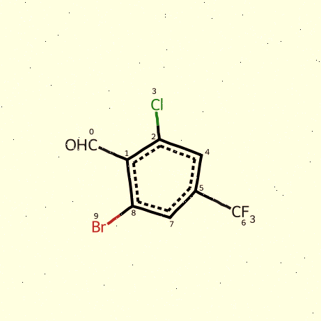 O=Cc1c(Cl)cc(C(F)(F)F)cc1Br